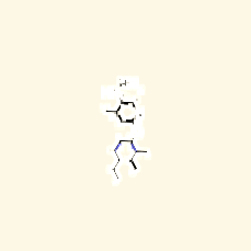 C=C/C(C)=C(\C=C/CCC)Oc1cc(C)c(NN)cn1